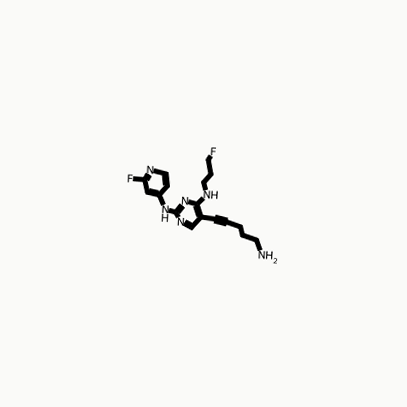 NCCCC#Cc1cnc(Nc2ccnc(F)c2)nc1NCCCF